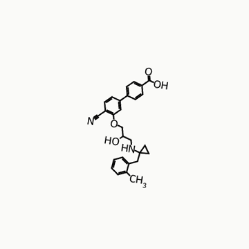 Cc1ccccc1CC1(NCC(O)COc2cc(-c3ccc(C(=O)O)cc3)ccc2C#N)CC1